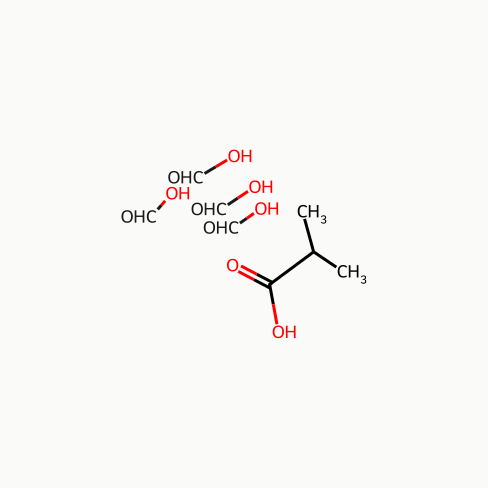 CC(C)C(=O)O.O=CO.O=CO.O=CO.O=CO